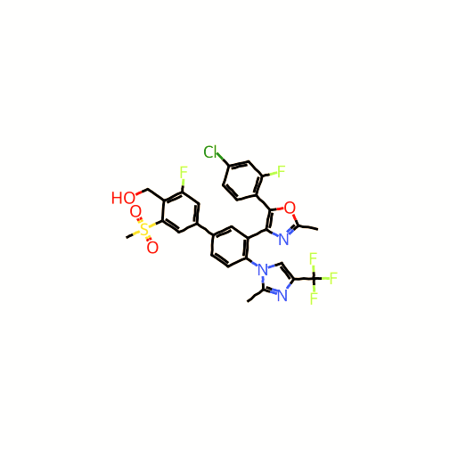 Cc1nc(-c2cc(-c3cc(F)c(CO)c(S(C)(=O)=O)c3)ccc2-n2cc(C(F)(F)F)nc2C)c(-c2ccc(Cl)cc2F)o1